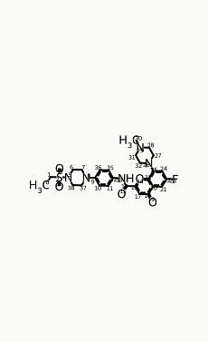 CCS(=O)(=O)N1CCN(c2ccc(NC(=O)c3cc(=O)c4cc(F)cc(N5CCN(C)CC5)c4o3)cc2)CC1